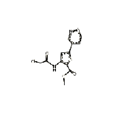 COC(=O)c1sc(-c2ccnnc2)cc1NC(=O)CCl